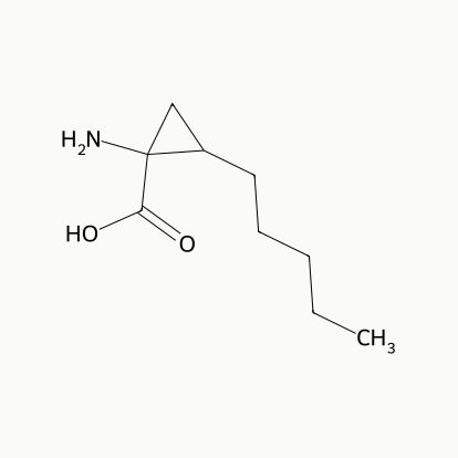 CCCCCC1CC1(N)C(=O)O